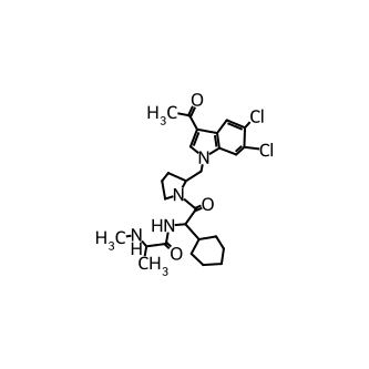 CNC(C)C(=O)NC(C(=O)N1CCCC1Cn1cc(C(C)=O)c2cc(Cl)c(Cl)cc21)C1CCCCC1